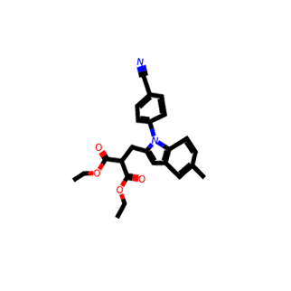 CCOC(=O)C(Cc1cc2cc(C)ccc2n1-c1ccc(C#N)cc1)C(=O)OCC